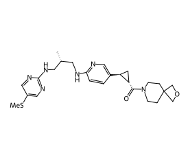 CSc1cnc(NC[C@H](C)CNc2ccc([C@H]3C[C@@H]3C(=O)N3CCC4(CC3)COC4)cn2)nc1